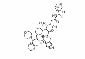 NC(C(O)CC(=O)NC(=O)[C@@H]1CN2CCC1CC2)C(C(=O)[C@H](Cc1c[nH]cn1)NC(=O)[C@H](Cc1ccccc1)NC(=O)N1CCOCC1)C1CCCCC1